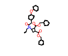 C=CCN(C(=O)Cc1ccc(Oc2ccccc2)cc1)C1CC(C(=O)OCc2ccccc2)C1C(=O)OCc1ccccc1